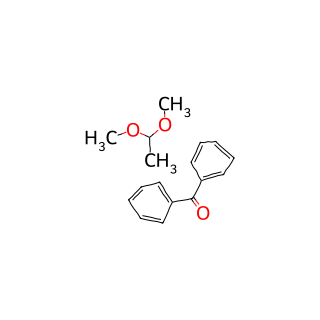 COC(C)OC.O=C(c1ccccc1)c1ccccc1